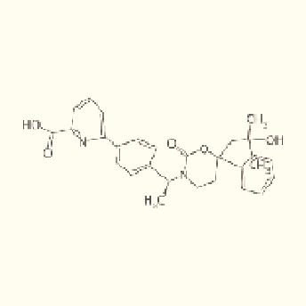 C[C@@H](c1ccc(-c2cccc(C(=O)O)n2)cc1)N1CCC(CC(C)(C)O)(c2ccccc2)OC1=O